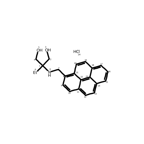 CCC(CO)(CO)NCc1ccc2ccc3cccc4ccc1c2c34.Cl